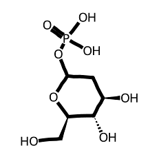 O=P(O)(O)OC1C[C@@H](O)[C@H](O)[C@@H](CO)O1